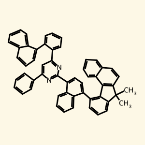 CC1(C)c2cccc(-c3ccc(-c4nc(-c5ccccc5)cc(-c5ccccc5-c5cccc6ccccc56)n4)c4ccccc34)c2-c2c1ccc1ccccc21